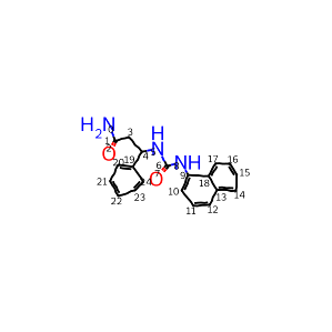 NC(=O)CC(NC(=O)Nc1cccc2ccccc12)c1ccccc1